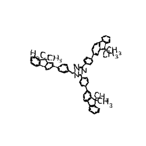 CC1(C)c2ccccc2-c2ccc(-c3ccc(-c4nc(-c5ccc(-c6ccc7c(c6)C(C)(C)c6ccccc6-7)cc5)nc(-c5ccc(-c6ccc7c(c6)C(C)(C)c6ccccc6-7)cc5)n4)cc3)cc21